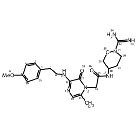 COc1ccc(CCNc2ncc(C)n(CC(=O)NC3CCN(C(=N)N)OC3)c2=O)cc1